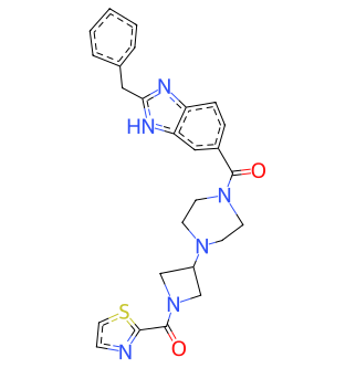 O=C(c1ccc2nc(Cc3ccccc3)[nH]c2c1)N1CCN(C2CN(C(=O)c3nccs3)C2)CC1